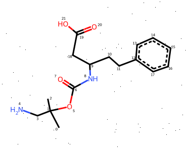 CC(C)(CN)OC(=O)NC(CCc1ccccc1)CC(=O)O